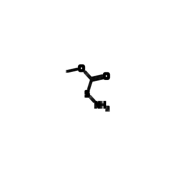 COC(=O)SN